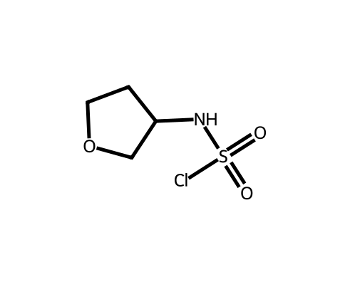 O=S(=O)(Cl)NC1CCOC1